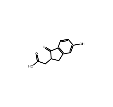 O=C(O)CC1Cc2cc(O)ccc2C1=O